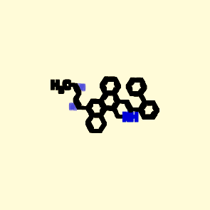 C/C=C\C=C/c1cc2c(c3c1C=CCC3)c1c(c3ccccc32)C=C(c2ccccc2-c2ccccc2)NC1